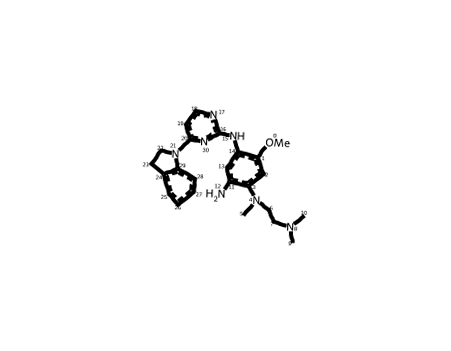 COc1cc(N(C)CCN(C)C)c(N)cc1Nc1nccc(N2CCc3ccccc32)n1